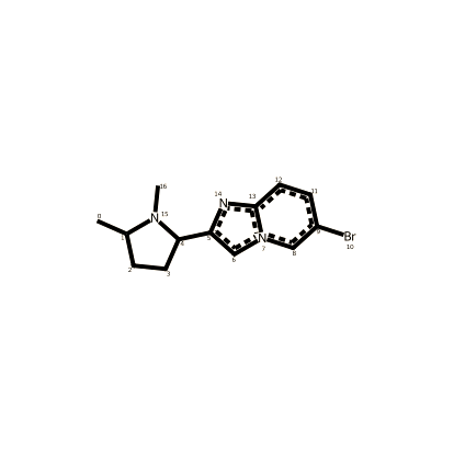 CC1CCC(c2cn3cc(Br)ccc3n2)N1C